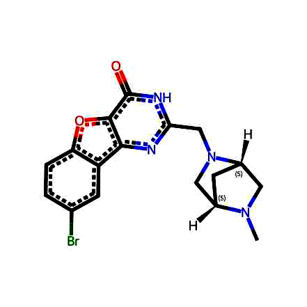 CN1C[C@@H]2C[C@H]1CN2Cc1nc2c(oc3ccc(Br)cc32)c(=O)[nH]1